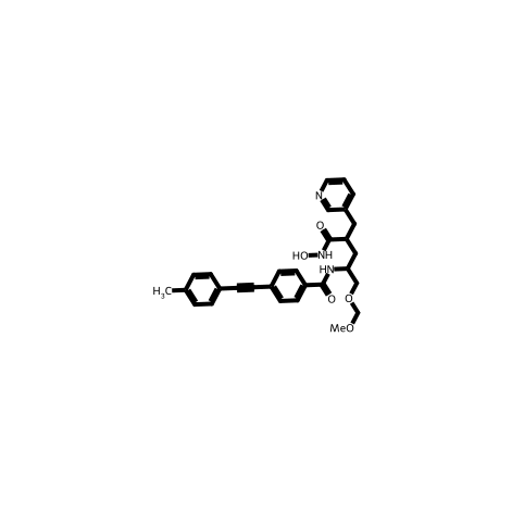 COCOCC(CC(Cc1cccnc1)C(=O)NO)NC(=O)c1ccc(C#Cc2ccc(C)cc2)cc1